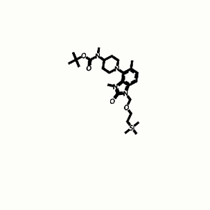 Cc1ccc2c(c1N1CCC(N(C)C(=O)OC(C)(C)C)CC1)n(C)c(=O)n2COCC[Si](C)(C)C